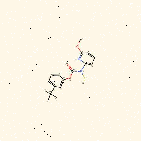 COc1cccc(N(SC)C(=O)Oc2cccc(C(C)(C)C)c2)n1